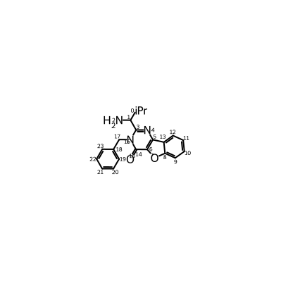 CC(C)C(N)c1nc2c(oc3ccccc32)c(=O)n1Cc1ccccc1